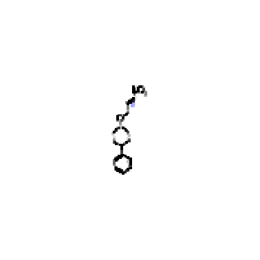 O=[N+]([O-])/C=C/COC1CCC(c2ccccc2)CC1